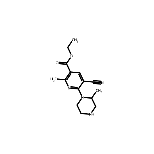 CCOC(=O)c1cc(C#N)c(N2CCNCC2C)nc1C